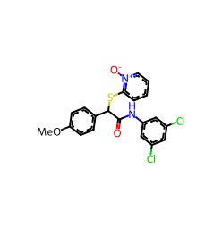 COc1ccc(C(Sc2cccc[n+]2[O-])C(=O)Nc2cc(Cl)cc(Cl)c2)cc1